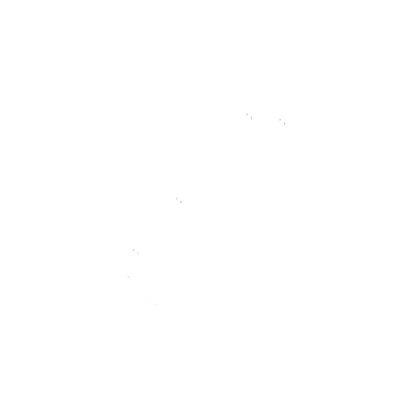 CC(C)(C)OC(=O)NCCCN(Cc1cccc(-c2ccnc(Cl)n2)c1)S(C)(=O)=O